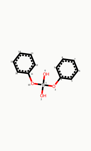 [OH][Ti]([OH])([O]c1ccccc1)[O]c1ccccc1